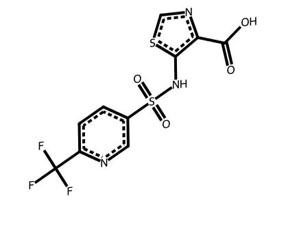 O=C(O)c1ncsc1NS(=O)(=O)c1ccc(C(F)(F)F)nc1